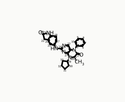 C[C@@H]1C(=O)N(c2ccccc2)c2cnc(Nc3ccc4c(c3)CC(=O)N4)nc2N1C1CCCC1